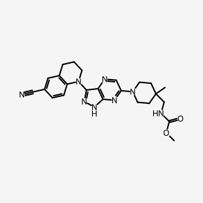 COC(=O)NCC1(C)CCN(c2cnc3c(N4CCCc5cc(C#N)ccc54)n[nH]c3n2)CC1